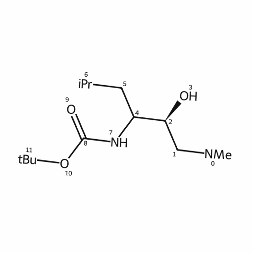 CNC[C@H](O)C(CC(C)C)NC(=O)OC(C)(C)C